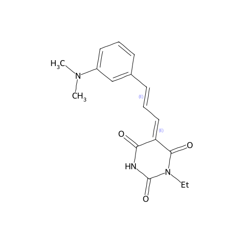 CCN1C(=O)NC(=O)/C(=C\C=C\c2cccc(N(C)C)c2)C1=O